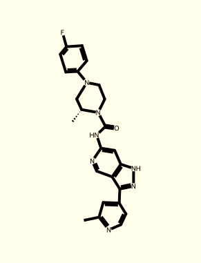 Cc1cc(-c2n[nH]c3cc(NC(=O)N4CCN(c5ccc(F)cc5)C[C@H]4C)ncc23)ccn1